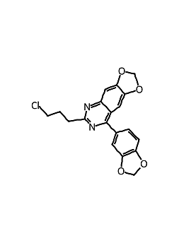 ClCCCc1nc(-c2ccc3c(c2)OCO3)c2cc3c(cc2n1)OCO3